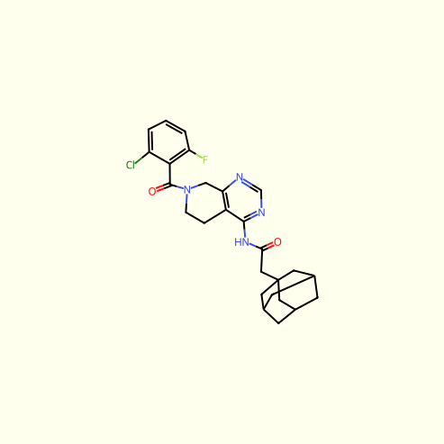 O=C(CC12CC3CC(CC(C3)C1)C2)Nc1ncnc2c1CCN(C(=O)c1c(F)cccc1Cl)C2